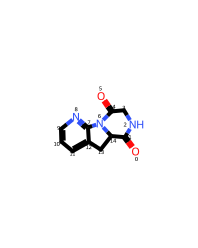 O=C1NCC(=O)N2c3ncccc3CC12